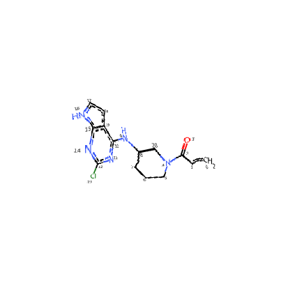 C=CC(=O)N1CCCC(Nc2nc(Cl)nc3[nH]ccc23)C1